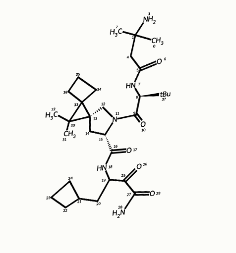 CC(C)(N)CC(=O)N[C@H](C(=O)N1C[C@]2(C[C@H]1C(=O)NC(CC1CCC1)C(=O)C(N)=O)C(C)(C)C21CCC1)C(C)(C)C